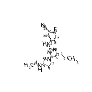 CCCc1cc(N2CCC(NCC)C2)nc(Nc2ccc(F)c(C#N)c2)n1